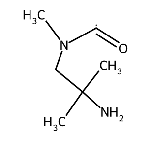 CN([C]=O)CC(C)(C)N